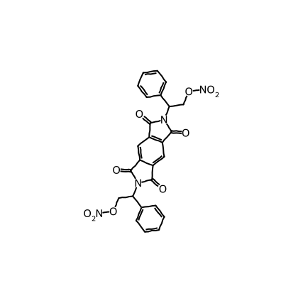 O=c1c2cc3c(=O)n(C(CO[N+](=O)[O-])c4ccccc4)c(=O)c3cc2c(=O)n1C(CO[N+](=O)[O-])c1ccccc1